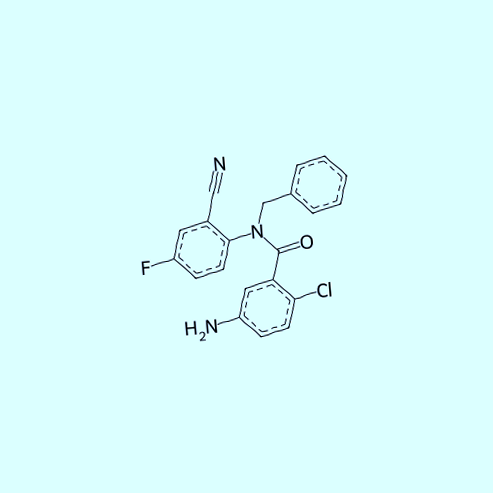 N#Cc1cc(F)ccc1N(Cc1ccccc1)C(=O)c1cc(N)ccc1Cl